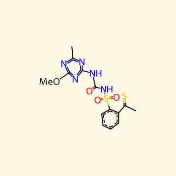 COc1nc(C)nc(NC(=O)NS(=O)(=O)c2ccccc2C(C)=S)n1